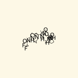 COc1cc(C(=O)N2C[C@H]3CC[C@@H]2[C@@H]3N)cc2nc(-c3cc4ccc([C@@H](C)NC(=O)[C@H]5CC5(F)F)nc4n3CC3CC3)c(C)n12